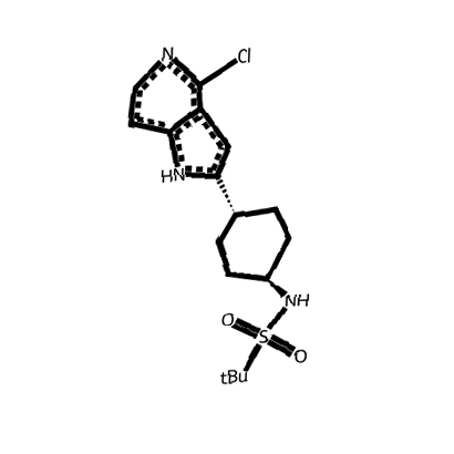 CC(C)(C)S(=O)(=O)N[C@H]1CC[C@H](c2cc3c(Cl)nccc3[nH]2)CC1